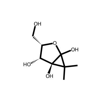 CC1(C)C2(O)O[C@@H](CO)[C@@H](O)[C@@]12O